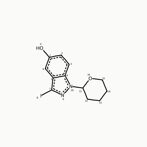 Oc1ccc2c(c1)c(I)nn2C1CCCCO1